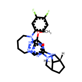 COc1cc(N2CC3CC[C@@H](C2)[C@@H]3Nc2nc3n(n2)CCCCN3c2ccc(F)c(F)c2)cnn1